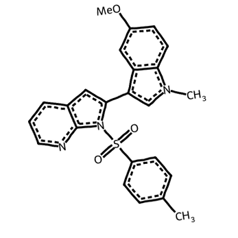 COc1ccc2c(c1)c(-c1cc3cccnc3n1S(=O)(=O)c1ccc(C)cc1)cn2C